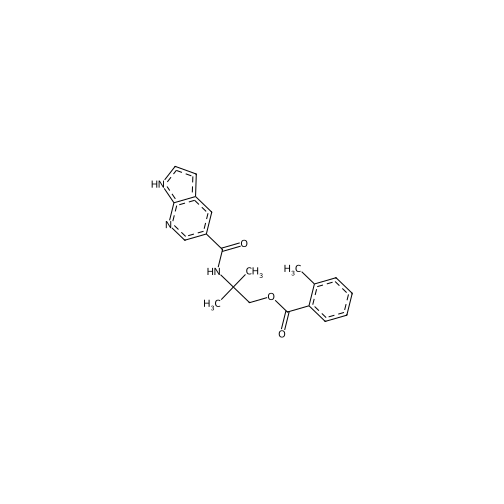 Cc1ccccc1C(=O)OCC(C)(C)NC(=O)c1cnc2[nH]ccc2c1